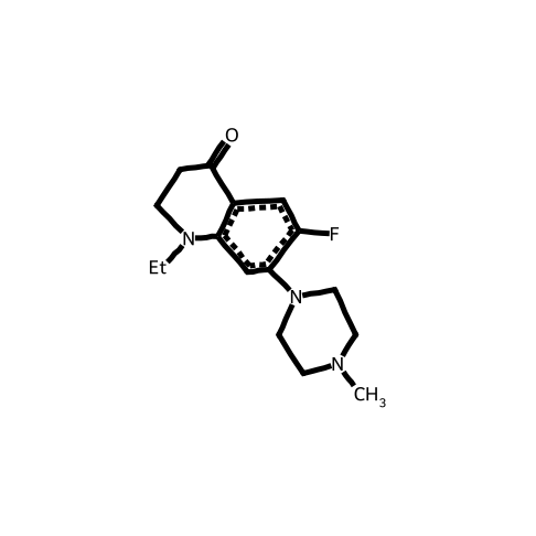 CCN1CCC(=O)c2cc(F)c(N3CCN(C)CC3)cc21